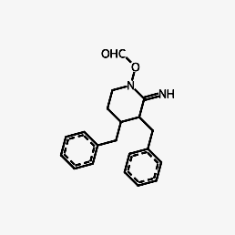 N=C1C(Cc2ccccc2)C(Cc2ccccc2)CCN1OC=O